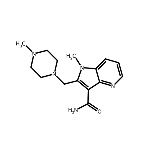 CN1CCN(Cc2c(C(N)=O)c3ncccc3n2C)CC1